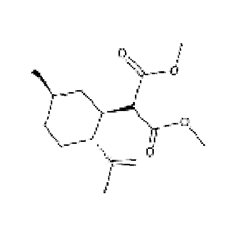 C=C(C)[C@@H]1CC[C@@H](C)C[C@H]1C(C(=O)OC)C(=O)OC